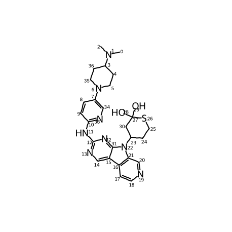 CN(C)C1CCN(c2ccc(Nc3ncc4c5ccncc5n(C5CCSC(O)(O)C5)c4n3)nc2)CC1